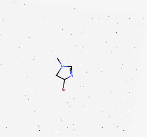 CN1[CH]C(Br)N=C1